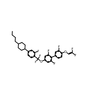 CCCCC1CCC(c2ccc(C(F)(F)Oc3cc(F)c(-c4ccc(OC=C(F)F)c(F)c4)c(F)c3)c(F)c2)CC1